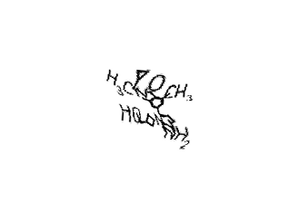 Cc1cc(C2=CCN(N)N2[C@H]2C[C@H](CO)C2)cc2c1C(=O)N(C(C)C1CC1)C2